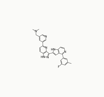 Cc1cc(F)cc(-c2nccc3[nH]c(-c4n[nH]c5ccc(-c6cncc(CN(C)C)c6)nc45)cc23)c1